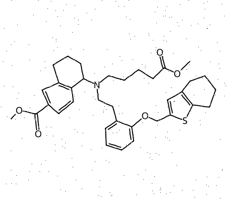 COC(=O)CCCCN(CCc1ccccc1OCc1cc2c(s1)CCCC2)C1CCCc2cc(C(=O)OC)ccc21